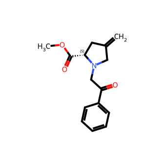 C=C1C[C@@H](C(=O)OC)N(CC(=O)c2ccccc2)C1